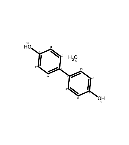 O.Oc1ccc(-c2ccc(O)cc2)cc1